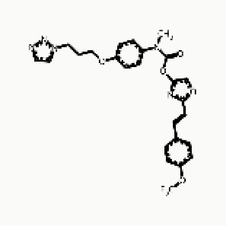 CN(C(=O)Oc1coc(C=Cc2ccc(OC(F)(F)F)cc2)n1)c1ccc(OCCCn2ccnn2)cc1